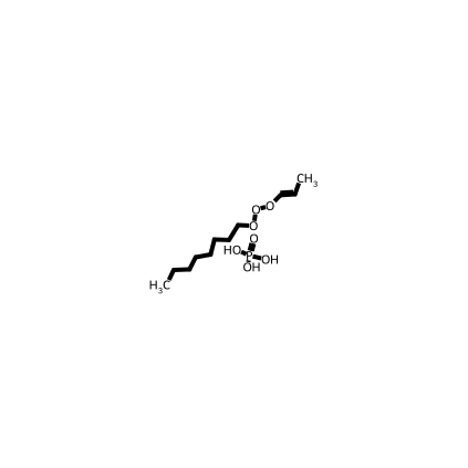 CC=COOOCCCCCCCC.O=P(O)(O)O